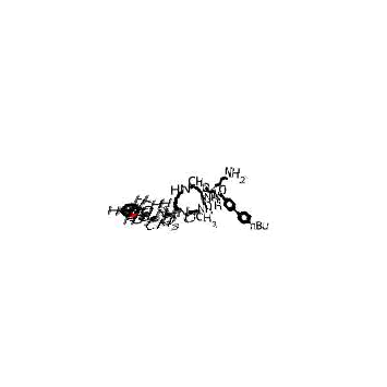 C=C1CC[C@H](NC(=O)[C@H](CCCCN)NC(=O)c2ccc(-c3ccc(CCCC)cc3)cc2)C(=O)N[C@@H](C)C(=O)N[C@H](C(=O)N[C@@H](C)B2O[C@@H]3C[C@@H]4C[C@@H](C4(C)C)[C@]3(C)O2)CCCN1